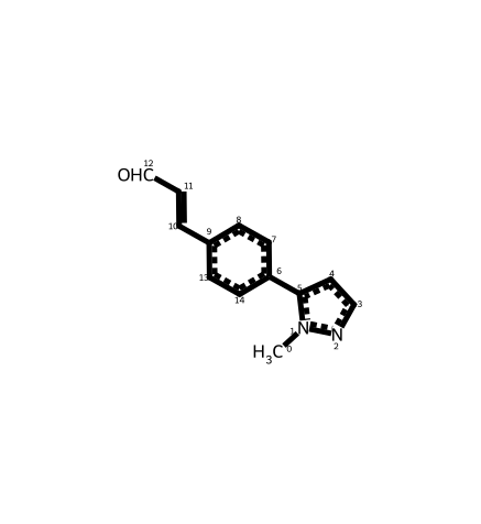 Cn1nccc1-c1ccc(C=CC=O)cc1